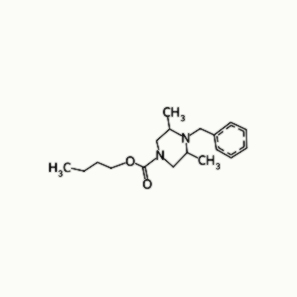 CCCCOC(=O)N1CC(C)N(Cc2ccccc2)C(C)C1